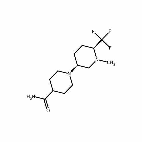 CN1C[C@@H](N2CCC(C(N)=O)CC2)CC[C@H]1C(F)(F)F